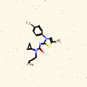 Cc1cn(-c2ccc(C(F)(F)F)cc2)c(=NC(=O)N(CCC#N)C2CC2)s1